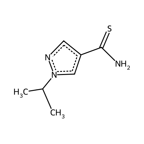 CC(C)n1cc(C(N)=S)cn1